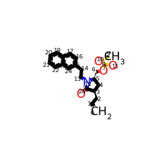 C=CC[C@@H]1C[C@@H](COS(C)(=O)=O)N(CCc2ccc3ccccc3c2)C1=O